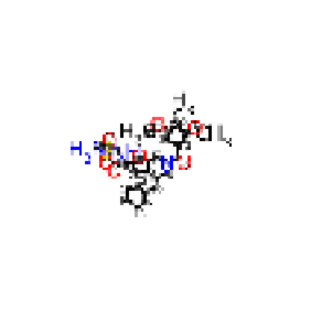 COc1cc(C(=O)N(CCCc2ccccc2)Cc2ccc(C(=O)NS(N)(=O)=O)o2)cc(OC)c1C